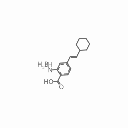 BNc1cc(/C=C/C2CCCCC2)ccc1C(=O)O